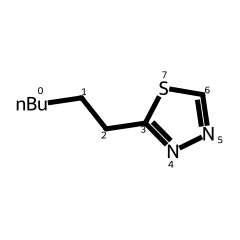 CCCCCCc1nncs1